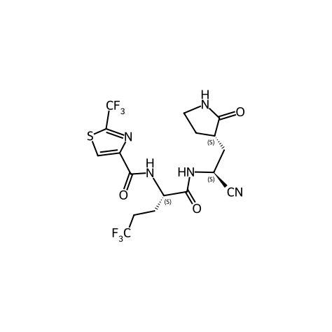 N#C[C@H](C[C@@H]1CCNC1=O)NC(=O)[C@H](CCC(F)(F)F)NC(=O)c1csc(C(F)(F)F)n1